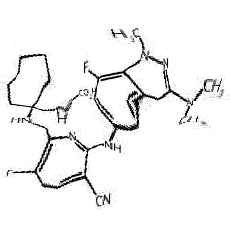 CN(C)c1nn(C)c2c(F)cc(Nc3nc(NC4(NC(=O)O)CCCCC4)c(F)cc3C#N)cc12